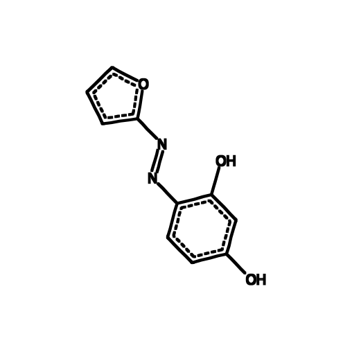 Oc1ccc(N=Nc2ccco2)c(O)c1